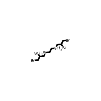 BrCC(Br)C[SiH2]CC[SiH2]CC(Br)CBr